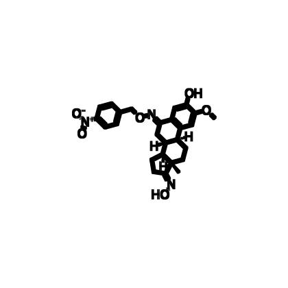 COc1cc2c(cc1O)C(=NOCc1ccc([N+](=O)[O-])cc1)C[C@@H]1[C@@H]2CC[C@]2(C)C(=NO)CC[C@@H]12